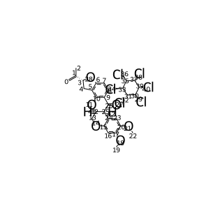 C=C(C)[C@H]1Cc2c(ccc3c2O[C@@H]2COc4cc(OC)c(OC)cc4[C@@H]2C3=O)O1.Cl[C@H]1[C@H](Cl)[C@@H](Cl)[C@@H](Cl)[C@H](Cl)[C@H]1Cl